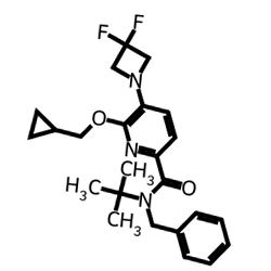 CC(C)(C)N(Cc1ccccc1)C(=O)c1ccc(N2CC(F)(F)C2)c(OCC2CC2)n1